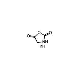 O=C1CNC(=O)O1.[KH]